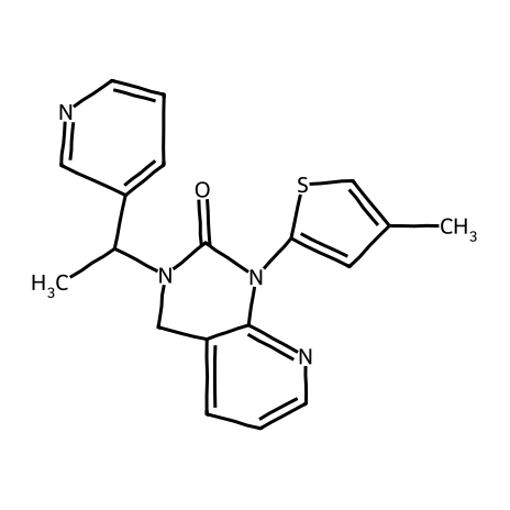 Cc1csc(N2C(=O)N(C(C)c3cccnc3)Cc3cccnc32)c1